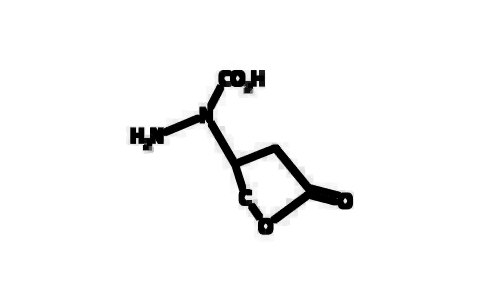 NN(C(=O)O)C1COC(=O)C1